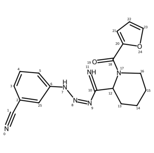 N#Cc1cccc(N/N=N\C(=N)C2CCCCN2C(=O)c2ccco2)c1